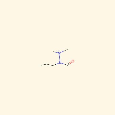 CCCN(C=O)N(C)C